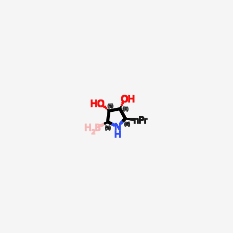 B[C@@H]1N[C@H](CCC)[C@@H](O)[C@H]1O